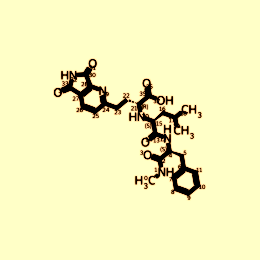 CNC(=O)[C@H](Cc1ccccc1)NC(=O)[C@H](CC(C)C)N[C@H](CCc1ccc2c(n1)C(=O)NC2=O)C(=O)O